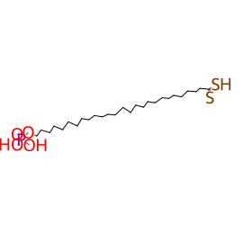 O=P(O)(O)OCCCCCCCCCCCCCCCCCCCCCCCCCCC(=S)S